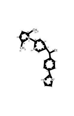 CCC(c1ccc(-c2nccs2)cc1)c1ccc(-n2c(C)ccc2C)nc1